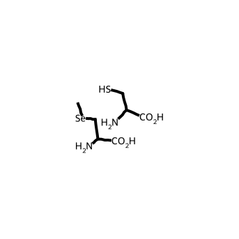 C[Se]CC(N)C(=O)O.NC(CS)C(=O)O